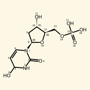 O=C1NC(O)C=CN1[C@H]1C[C@H](O)[C@@H](COP(=O)(O)O)O1